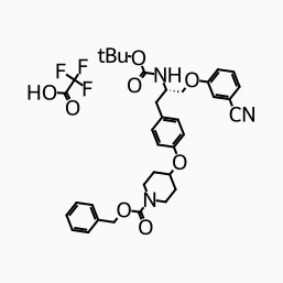 CC(C)(C)OC(=O)N[C@H](COc1cccc(C#N)c1)Cc1ccc(OC2CCN(C(=O)OCc3ccccc3)CC2)cc1.O=C(O)C(F)(F)F